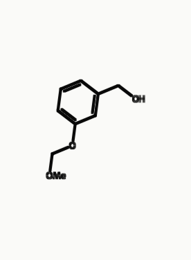 COCOc1cccc(CO)c1